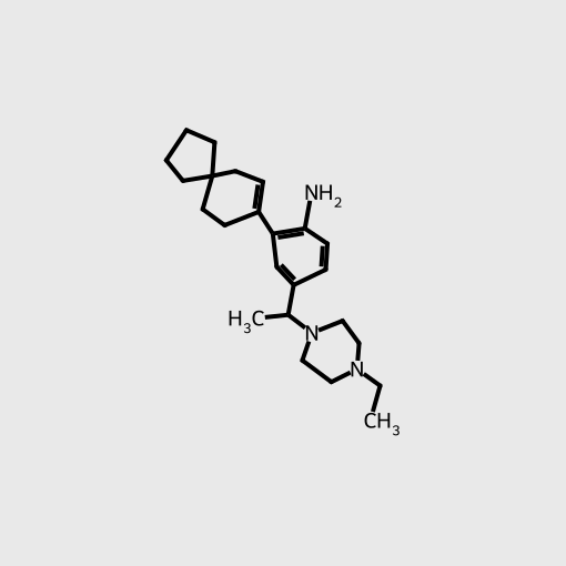 CCN1CCN(C(C)c2ccc(N)c(C3=CCC4(CCCC4)CC3)c2)CC1